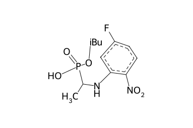 CCC(C)OP(=O)(O)C(C)Nc1cc(F)ccc1[N+](=O)[O-]